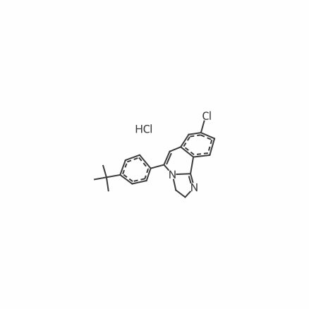 CC(C)(C)c1ccc(C2=Cc3cc(Cl)ccc3C3=NCCN23)cc1.Cl